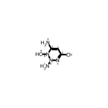 NC1=CC(Cl)=NN(N)N1O